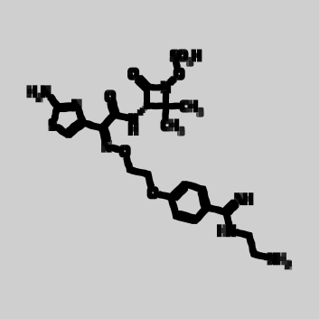 CC1(C)[C@H](NC(=O)/C(=N\OCCOc2ccc(C(=N)NCCN)cc2)c2csc(N)n2)C(=O)N1OS(=O)(=O)O